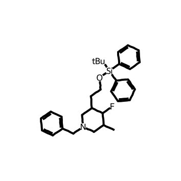 CC1CN(Cc2ccccc2)CC(CCO[Si](c2ccccc2)(c2ccccc2)C(C)(C)C)C1F